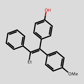 CCC(=C(c1ccc(O)cc1)c1ccc(OC)cc1)c1ccccc1